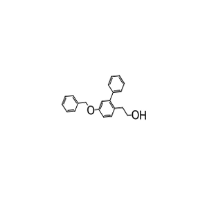 OCCc1ccc(OCc2ccccc2)cc1-c1ccccc1